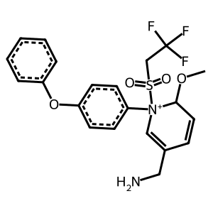 COC1C=CC(CN)=C[N+]1(c1ccc(Oc2ccccc2)cc1)S(=O)(=O)CC(F)(F)F